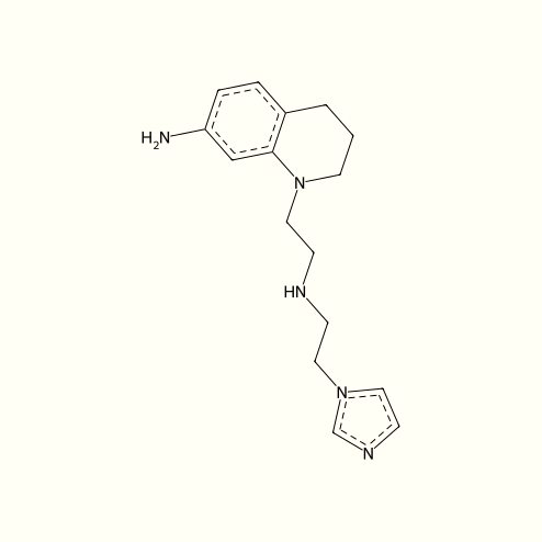 Nc1ccc2c(c1)N(CCNCCn1ccnc1)CCC2